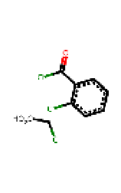 O=C(Cl)c1ccccc1Cl.O=C(O)CCl